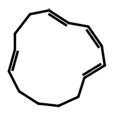 [C]1=C/C=C\C=C\CCCC/C=C/CC/1